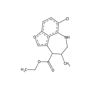 CCOC(=O)C1c2coc3ccc(Cl)c(c23)NCC1C